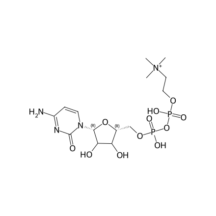 C[N+](C)(C)CCOP(=O)(O)OP(=O)(O)OC[C@H]1O[C@@H](n2ccc(N)nc2=O)C(O)C1O